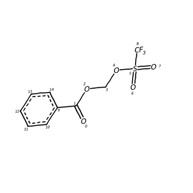 O=C(OCOS(=O)(=O)C(F)(F)F)c1ccccc1